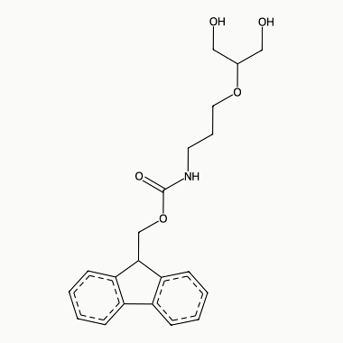 O=C(NCCCOC(CO)CO)OCC1c2ccccc2-c2ccccc21